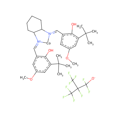 COc1cc(C=[N+]2[Co][N+](=Cc3cc(OC)cc(C(C)(C)C)c3O)C3CCCCC32)c(O)c(C(C)(C)C)c1.[O-]C(F)(F)C(F)(C(F)(F)F)C(F)(F)F